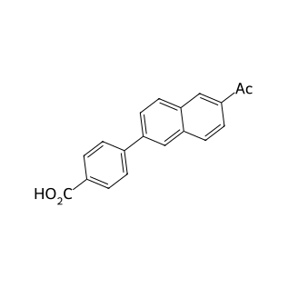 CC(=O)c1ccc2cc(-c3ccc(C(=O)O)cc3)ccc2c1